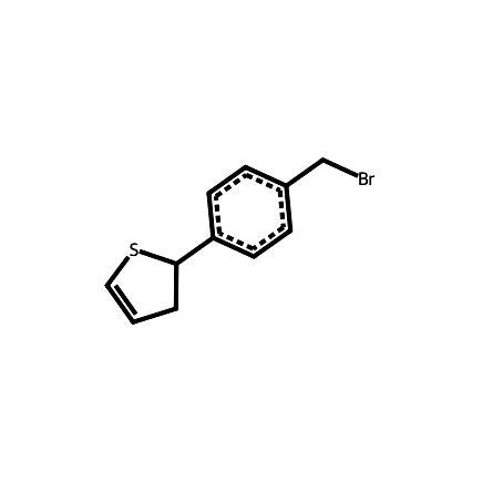 BrCc1ccc(C2CC=CS2)cc1